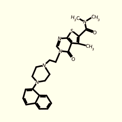 Cc1c(C(=O)N(C)C)sc2ncn(CCN3CCN(c4cccc5ccccc45)CC3)c(=O)c12